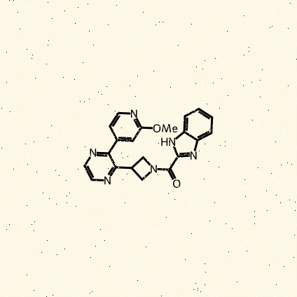 COc1cc(-c2nccnc2C2CN(C(=O)c3nc4ccccc4[nH]3)C2)ccn1